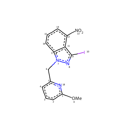 COc1cccc(Cn2nc(I)c3c([N+](=O)[O-])cccc32)n1